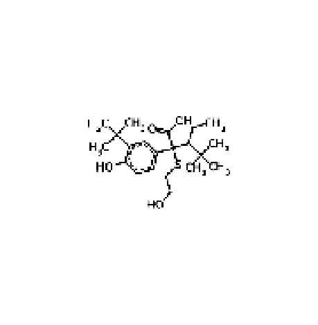 CCC(C(C)(C)C)C(SCCO)(C(=O)O)c1ccc(O)c(C(C)(C)C)c1